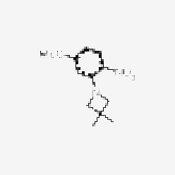 COc1ccc([N+](=O)[O-])c(N2CC(C)(C)C2)c1